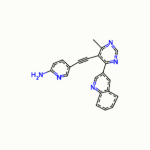 Cc1ncnc(-c2cnc3ccccc3c2)c1C#Cc1ccc(N)nc1